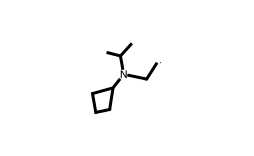 [CH2]CN(C(C)C)C1CCC1